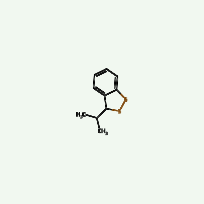 CC(C)C1SSc2ccccc21